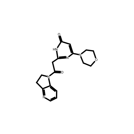 O=C(Cc1nc(N2CCOCC2)cc(=O)[nH]1)N1CCc2ncccc21